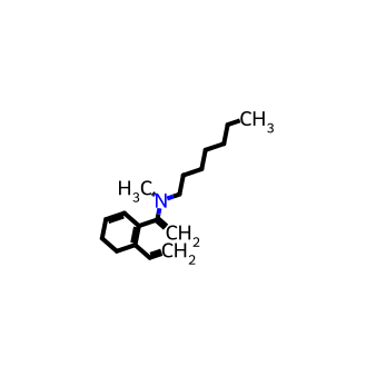 C=CC1=C(C(=C)N(C)CCCCCCC)C=CCC1